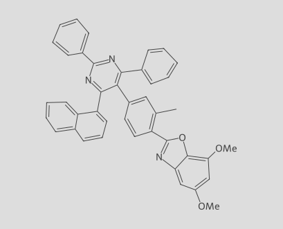 COc1cc(OC)c2oc(-c3ccc(-c4c(-c5ccccc5)nc(-c5ccccc5)nc4-c4cccc5ccccc45)cc3C)nc2c1